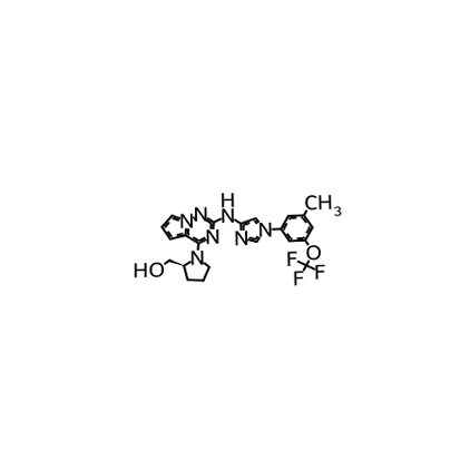 Cc1cc(OC(F)(F)F)cc(-n2cnc(Nc3nc(N4CCC[C@H]4CO)c4cccn4n3)c2)c1